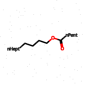 CCCCCCCCCCCOC(=O)CCCCC